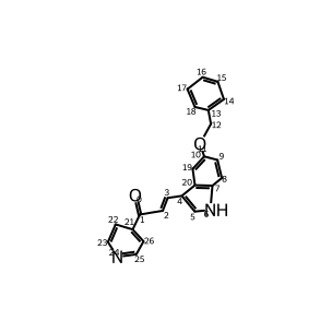 O=C(C=Cc1c[nH]c2ccc(OCc3ccccc3)cc12)c1ccncc1